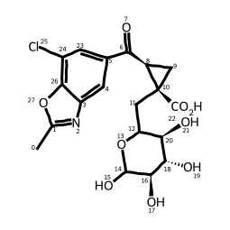 Cc1nc2cc(C(=O)[C@H]3C[C@@]3(CC3OC(O)[C@H](O)[C@@H](O)[C@@H]3O)C(=O)O)cc(Cl)c2o1